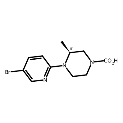 C[C@H]1CN(C(=O)O)CCN1c1ccc(Br)cn1